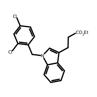 CCOC(=O)CCc1cn(Cc2ccc(Cl)cc2Cl)c2ccccc12